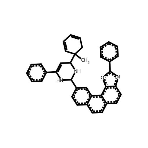 CC1(C2C=C(c3ccccc3)NC(c3ccc4ccc5ccc6nc(-c7ccccc7)oc6c5c4c3)N2)C=CC=CC1